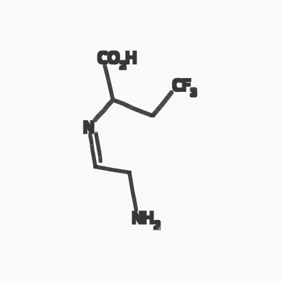 NC/C=N\C(CC(F)(F)F)C(=O)O